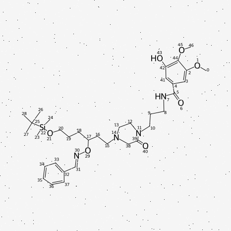 COc1cc(C(=O)NCCCN2CCN(CCC(CCCO[Si](C)(C)C(C)(C)C)O/N=C/c3ccccc3)CC2=O)cc(O)c1OC